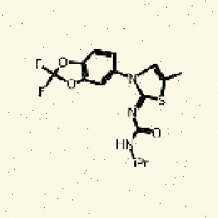 Cc1cn(-c2ccc3c(c2)OC(F)(F)O3)/c(=N/C(=O)NC(C)C)s1